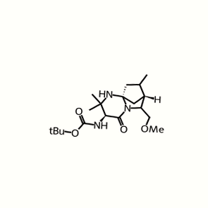 COCC1[C@@H]2C[C@]3(CC2C)NC(C)(C)[C@H](NC(=O)OC(C)(C)C)C(=O)N13